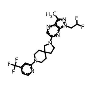 Cc1nn(CC(F)F)c2nc(N3CCC4(CCN(c5cc(C(F)(F)F)ccn5)CC4)C3)cnc12